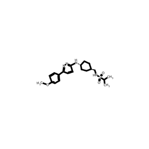 COc1ccc(-c2ccc(N[C@H]3CC[C@H](CNS(=O)(=O)C(C)C)CC3)nn2)cc1